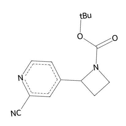 CC(C)(C)OC(=O)N1CCC1c1ccnc(C#N)c1